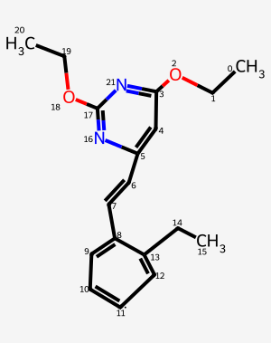 CCOc1cc(C=Cc2cc[c]cc2CC)nc(OCC)n1